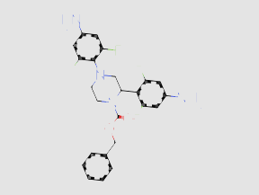 Nc1cc(F)c(C2CN(c3c(F)cc(N)cc3F)CCN2C(=O)OCc2ccccc2)c(F)c1